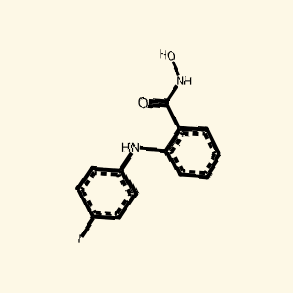 O=C(NO)c1ccccc1Nc1ccc(I)cc1